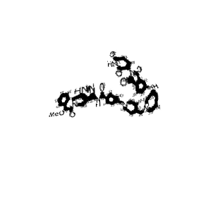 COC(C(=O)N1Cc2[nH]nc(NC(=O)c3ccc(N4CCC(CN5CCC[C@@H](Nc6ccc7c(c6)C(=O)N(C6CCC(=O)NC6=O)C7=O)C5)CC4)cc3)c2C1)c1ccccc1